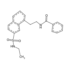 CCNS(=O)(=O)c1ccc2cccc(CCNC(=O)c3ccccc3)c2c1